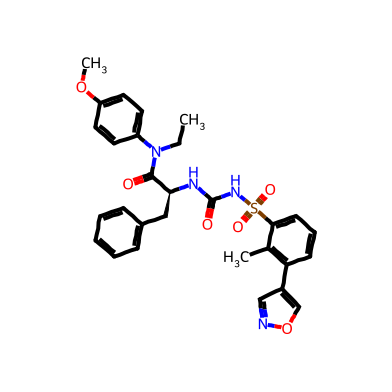 CCN(C(=O)[C@H](Cc1ccccc1)NC(=O)NS(=O)(=O)c1cccc(-c2cnoc2)c1C)c1ccc(OC)cc1